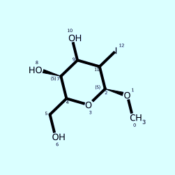 CO[C@H]1OC(CO)[C@@H](O)C(O)C1I